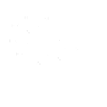 CN1C(C)(C)CC2(CC1(C)C)OC(=S)N(c1cccc3ccccc13)C2=N